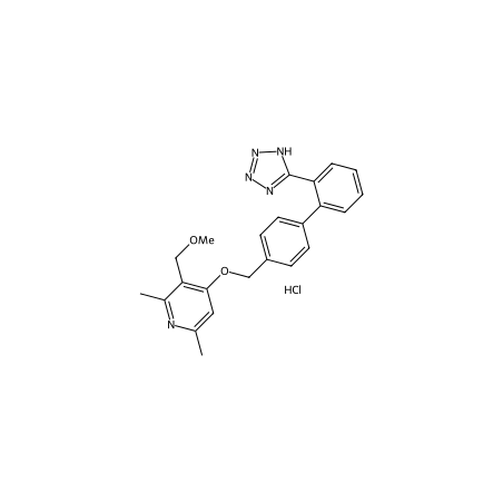 COCc1c(OCc2ccc(-c3ccccc3-c3nnn[nH]3)cc2)cc(C)nc1C.Cl